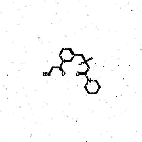 CC(C)(C)CC(=O)N1CCC=C(CC(C)(C)CC(=O)N2CCCCC2)C1